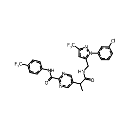 CC(C(=O)NCc1cc(C(F)(F)F)nn1-c1cccc(Cl)c1)c1cnc(C(=O)Nc2ccc(C(F)(F)F)cc2)nc1